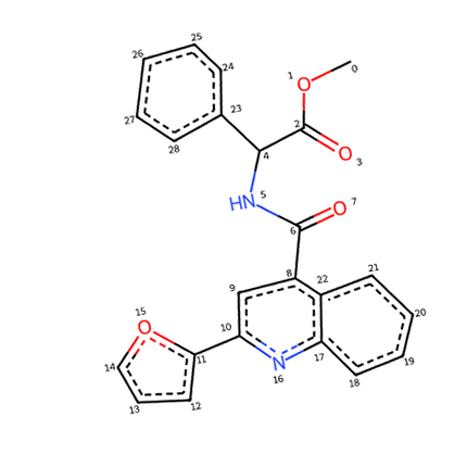 COC(=O)C(NC(=O)c1cc(-c2ccco2)nc2ccccc12)c1ccccc1